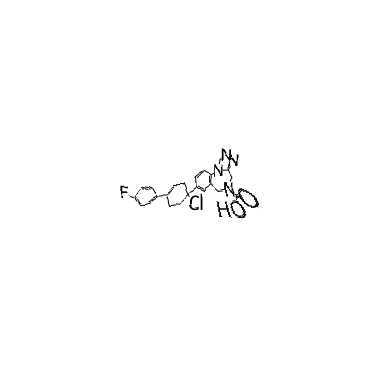 O=C(O)N1Cc2cc(C3(Cl)CC=C(c4ccc(F)cc4)CC3)ccc2-n2cnnc2C1